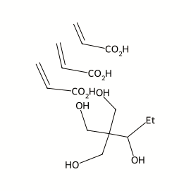 C=CC(=O)O.C=CC(=O)O.C=CC(=O)O.CCC(O)C(CO)(CO)CO